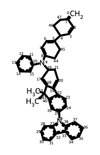 C=C1C=CC(C2=CC=C(N(c3ccccc3)C3C=C4C(=CC3)c3ccc(-n5c6ccccc6c6ccccc65)cc3C4(C)C)CC2)CC1